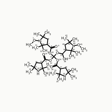 CON1C(C)(C)CC(C(=O)OC(OC(=O)C2CC(C)(C)NC2(C)C)(OC(=O)C2CC(C)(C)NC2(C)C)OC(O)C2CC(C)(C)N(OC)C2(C)C)C1(C)C